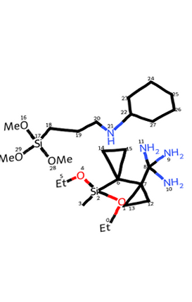 CCO[Si](C)(OCC)C1(C2(C(N)(N)N)CC2)CC1.CO[Si](CCCNC1CCCCC1)(OC)OC